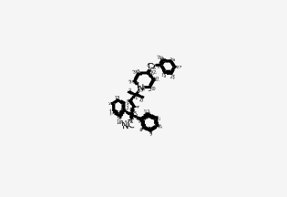 CC(C)(CCC(C#N)(c1ccccc1)c1ccccc1)N1CCC(Oc2ccccc2)CC1